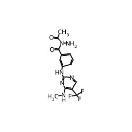 CNc1nc(Nc2cccc(C(=O)N(N)C(C)=O)c2)ncc1C(F)(F)F